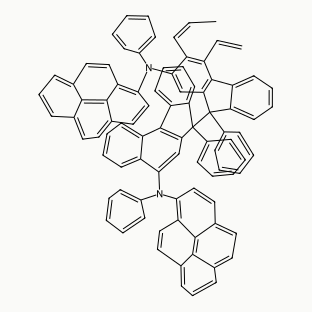 C=Cc1c(/C=C\C)c(N(c2ccccc2)c2ccc3ccc4cccc5ccc2c3c45)cc2c1-c1ccccc1C2(c1ccccc1)C1(c2ccccc2)c2ccccc2-c2c1cc(N(c1ccccc1)c1ccc3ccc4cccc5ccc1c3c45)c1ccccc21